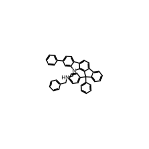 c1ccc(CNCn2c3cc(-c4ccccc4)ccc3c3ccc4c(c32)C(c2ccccc2)(c2ccccc2)c2ccccc2-4)cc1